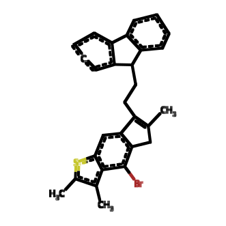 CC1=C(CCC2c3ccccc3-c3ccccc32)c2cc3sc(C)c(C)c3c(Br)c2C1